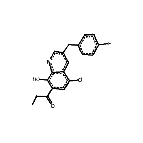 CCC(=O)c1cc(Cl)c2cc(Cc3ccc(F)cc3)cnc2c1O